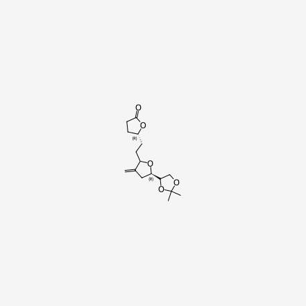 C=C1C[C@H](C2COC(C)(C)O2)OC1CC[C@@H]1CCC(=O)O1